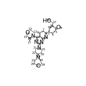 COc1ccc(-c2ccc3c(N4CCOC[C@@H]4C)nc(N4CCC(N5CCOCC5)CC4)nc3n2)cc1CO